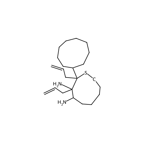 C=CCC1(N)C(N)CCCCCSC1(CC=C)C1CCCCCCCC1